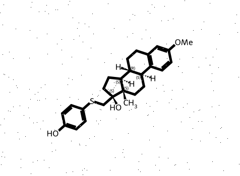 COc1ccc2c(c1)CC[C@@H]1[C@@H]2CC[C@@]2(C)[C@H]1CC[C@@]2(O)CSc1ccc(O)cc1